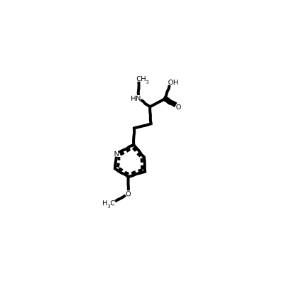 CNC(CCc1ccc(OC)cn1)C(=O)O